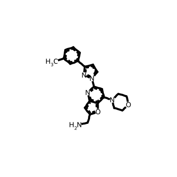 Cc1cccc(-c2ccn(-c3cc(N4CCOCC4)c4oc(CN)cc4n3)n2)c1